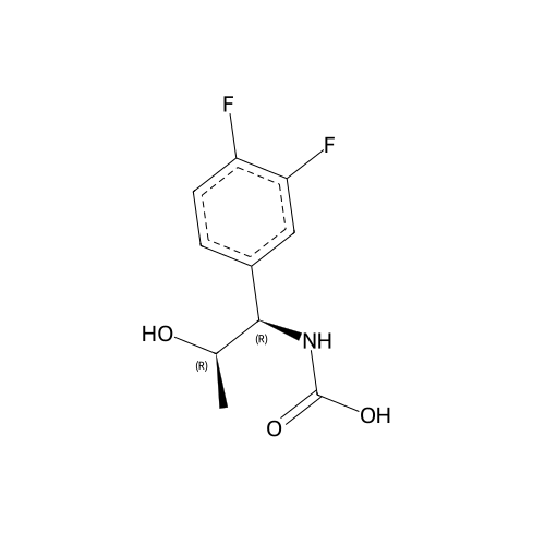 C[C@@H](O)[C@H](NC(=O)O)c1ccc(F)c(F)c1